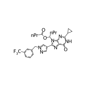 CCCC(=O)OC(CCC)n1c(-c2cnn(Cc3cccc(C(F)(F)F)c3)c2)nc2c(=O)[nH]c(C3CC3)nc21